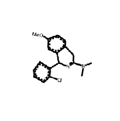 COc1ccc2c(c1)C(c1ccccc1Cl)N=C(N(C)C)C2